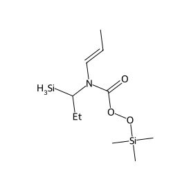 CC=CN(C(=O)OO[Si](C)(C)C)C([SiH3])CC